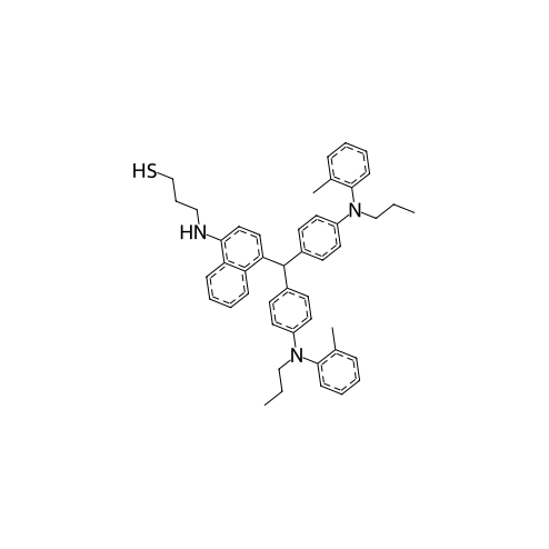 CCCN(c1ccc(C(c2ccc(N(CCC)c3ccccc3C)cc2)c2ccc(NCCCS)c3ccccc23)cc1)c1ccccc1C